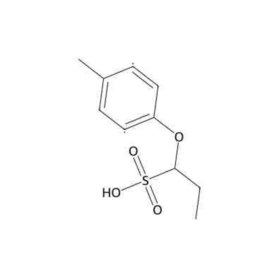 CCC(Oc1[c]cc(C)[c]c1)S(=O)(=O)O